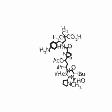 CCCCCCN(C(=O)[C@H]([C@@H](C)CC)N(C=O)C[C@@H]1CCCN1C)[C@H](C[C@@H](OC(C)=O)c1nc(C(=O)N[C@@H](Cc2ccc(N)cc2)CC(C)(C)C(=O)O)cs1)C(C)C